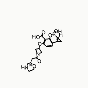 O=C(O)c1c(OC2CN(C(=O)C[C@@H]3CNCCO3)C2)ccc2c1OB(O)[C@@H]1CC21